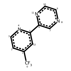 FC(F)(F)c1ccnc(-c2cnccn2)c1